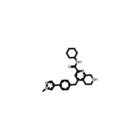 Cn1cc(-c2ccc(Cc3cc(C(=O)NC4CCCCC4)nc4c3CCNC4)cc2)cn1